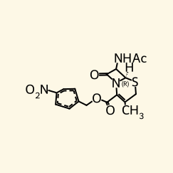 CC(=O)NC1C(=O)N2C(C(=O)OCc3ccc([N+](=O)[O-])cc3)=C(C)CS[C@H]12